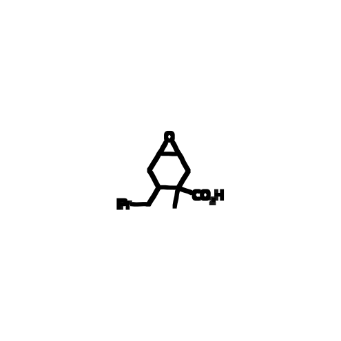 CC(C)CC1CC2OC2CC1(C)C(=O)O